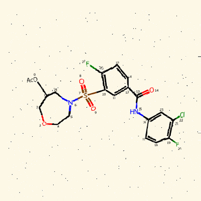 CC(=O)OC1COCCN(S(=O)(=O)c2cc(C(=O)Nc3ccc(F)c(Cl)c3)ccc2F)C1